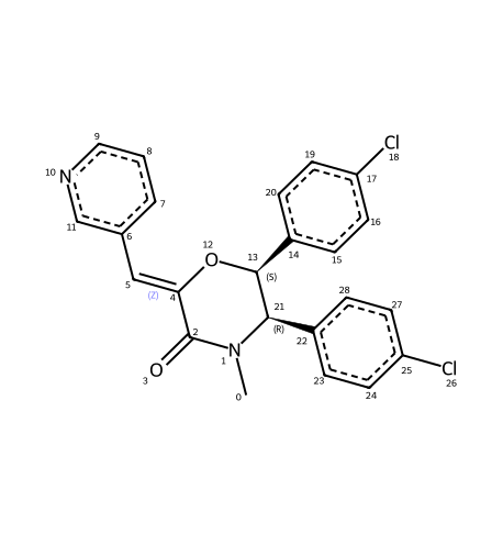 CN1C(=O)/C(=C/c2cccnc2)O[C@@H](c2ccc(Cl)cc2)[C@H]1c1ccc(Cl)cc1